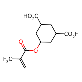 C=C(C(=O)OC1CC(C(=O)O)CC(C(=O)O)C1)C(F)(F)F